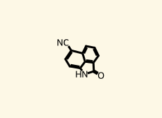 N#Cc1ccc2c3c(cccc13)C(=O)N2